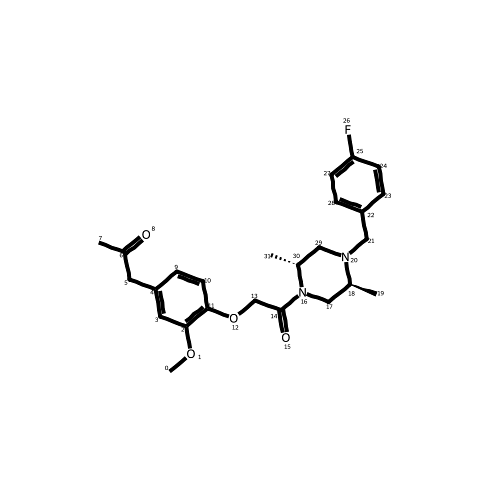 COc1cc(CC(C)=O)ccc1OCC(=O)N1C[C@H](C)N(Cc2ccc(F)cc2)C[C@H]1C